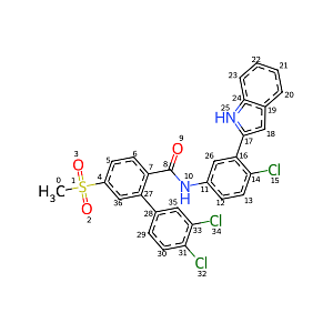 CS(=O)(=O)c1ccc(C(=O)Nc2ccc(Cl)c(-c3cc4ccccc4[nH]3)c2)c(-c2ccc(Cl)c(Cl)c2)c1